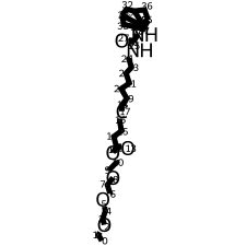 CCOCCOCCOCCOC(=O)CCCCCCCCCCCNC(=O)NC12CC3CC(CC(C3)C1)C2